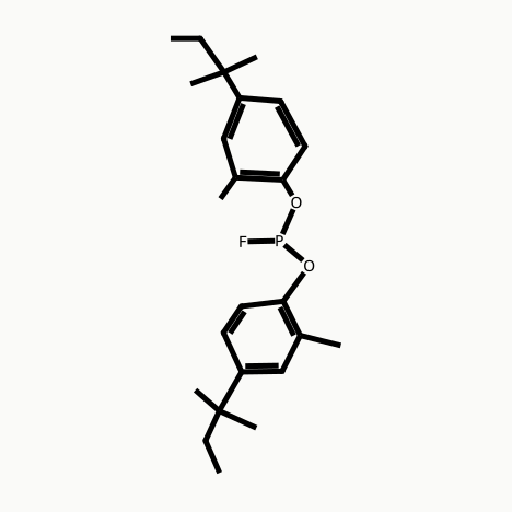 CCC(C)(C)c1ccc(OP(F)Oc2ccc(C(C)(C)CC)cc2C)c(C)c1